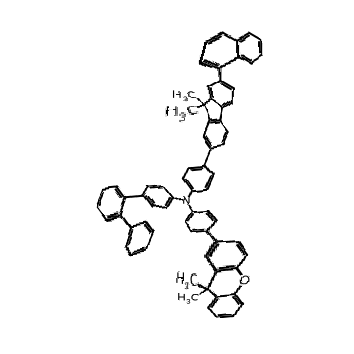 CC1(C)c2ccccc2Oc2ccc(-c3ccc(N(c4ccc(-c5ccc6c(c5)C(C)(C)c5cc(-c7cccc8ccccc78)ccc5-6)cc4)c4ccc(-c5ccccc5-c5ccccc5)cc4)cc3)cc21